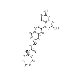 O=C(O)CC(c1ccc(Cl)cc1)c1ccc2ccc(OCC(=O)NC3CCCCCC3)cc2c1